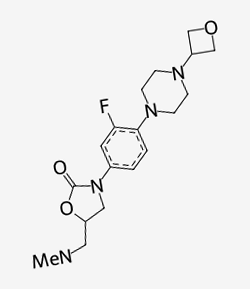 CNCC1CN(c2ccc(N3CCN(C4COC4)CC3)c(F)c2)C(=O)O1